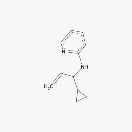 C=CC(Nc1ccccn1)C1CC1